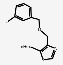 [CH2]CCCCCc1scnc1COCc1cccc(F)c1